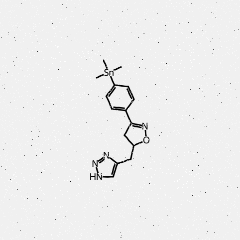 [CH3][Sn]([CH3])([CH3])[c]1ccc(C2=NOC(Cc3c[nH]nn3)C2)cc1